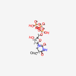 O=Cc1cn([C@H]2C[C@H](O)[C@@H](COP(=O)(O)OP(=O)(O)OP(=O)(O)O)O2)c(=O)[nH]c1=O